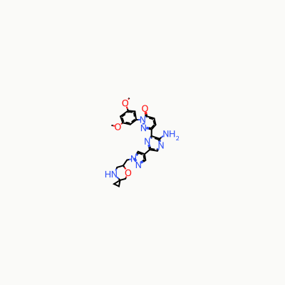 COc1cc(OC)cc(-n2nc(-c3nc(-c4cnn(CC5CNC6(CC6)CO5)c4)cnc3N)ccc2=O)c1